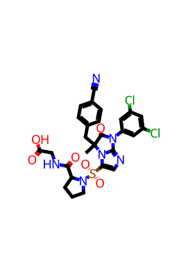 CC1(Cc2ccc(C#N)cc2)C(=O)N(c2cc(Cl)cc(Cl)c2)c2ncc(S(=O)(=O)N3CCCC3C(=O)NCC(=O)O)n21